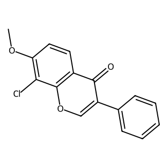 COc1ccc2c(=O)c(-c3ccccc3)coc2c1Cl